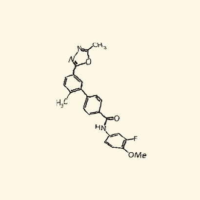 COc1ccc(NC(=O)c2ccc(-c3cc(-c4nnc(C)o4)ccc3C)cc2)cc1F